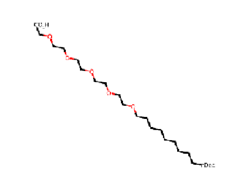 CCCCCCCCCCCCCCCCCCCOCCOCCOCCOCCOCC(=O)O